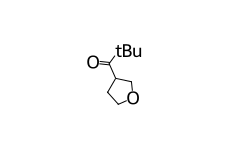 CC(C)(C)C(=O)C1CCOC1